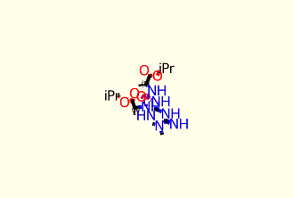 CC(C)OC(=O)[C@H](C)NP(=O)(NC(=N)NC(=N)N(C)C)N[C@@H](C)C(=O)OC(C)C